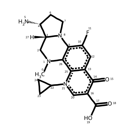 CN1C[C@@H]2[C@H](N)CCN2c2c(F)cc3c(=O)c(C(=O)O)cn(C4CC4)c3c21